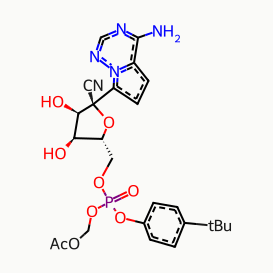 CC(=O)OCOP(=O)(OC[C@H]1O[C@@](C#N)(c2ccc3c(N)ncnn23)[C@H](O)[C@@H]1O)Oc1ccc(C(C)(C)C)cc1